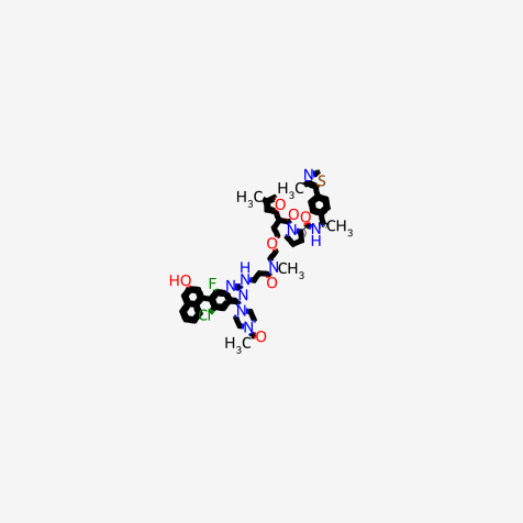 CC(=O)N1CCN(c2nc(NCCC(=O)N(C)CCOCCC(C(=O)N3CCC[C@H]3C(=O)N[C@@H](C)c3ccc(-c4scnc4C)cc3)c3cc(C)co3)nc3c(F)c(-c4cc(O)cc5ccccc45)c(Cl)cc23)CC1